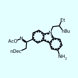 CCCCCCCCCCC/C(=N\OC(C)=O)c1ccc2c(c1)c1cc(N)ccc1n2CC(CC)CCCC